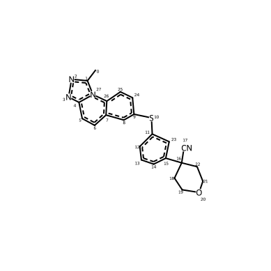 Cc1nnc2ccc3cc(Sc4cccc(C5(C#N)CCOCC5)c4)ccc3n12